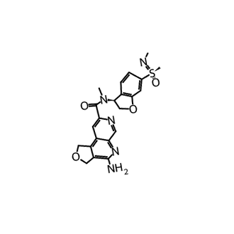 CN=[S@](C)(=O)c1ccc2c(c1)OC[C@H]2N(C)C(=O)c1cc2c3c(c(N)nc2cn1)COC3